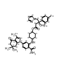 Cc1nn(-c2ccc(C(N)=O)c(NC3CCC(OC(=O)CC(O)(Cn4cncn4)c4ccc(F)cc4F)CC3)c2)c2c1C(=O)CC(C)(C)C2